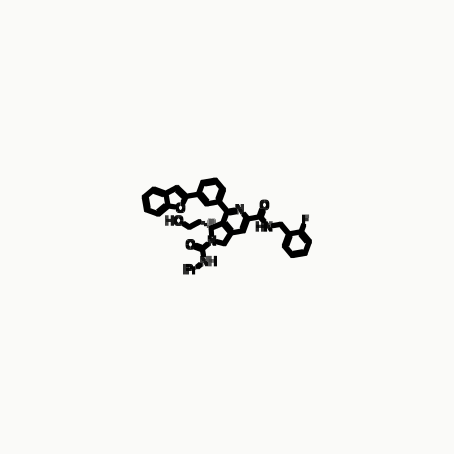 CC(C)NC(=O)N1Cc2cc(C(=O)NCc3ccccc3F)nc(-c3cccc(-c4cc5ccccc5o4)c3)c2[C@H]1CCO